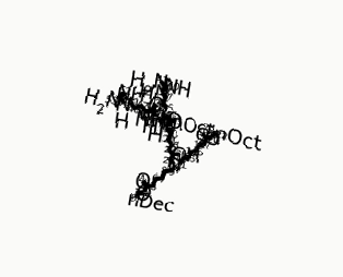 CCCCCCCCCCCOC(=O)CCCCCN(CCCCCCCC(=O)OC(CCCCCCCC)CCCCCCCC)CC(O)CCCCNC(=O)[C@H](CCCNC(=N)N)NC(=O)[C@@H](N)CCCNC(=N)N